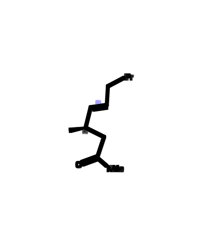 CNC(=O)C[C@@H](C)/C=C/CC(C)C